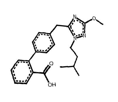 COc1nc(Cc2ccc(-c3ccccc3C(=O)O)cc2)n(CCC(C)C)n1